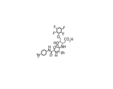 CC(C)[C@H](NC(=O)C(=O)Nc1ccc(N(C)C)cc1)C(=O)NC(CC(=O)O)C(O)COc1c(F)c(F)cc(F)c1F